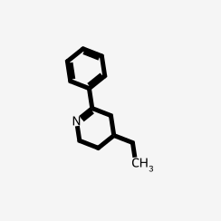 CCC1CCN=C(c2ccccc2)C1